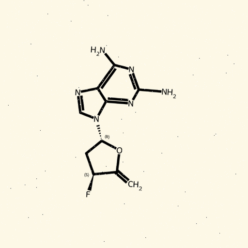 C=C1O[C@@H](n2cnc3c(N)nc(N)nc32)C[C@@H]1F